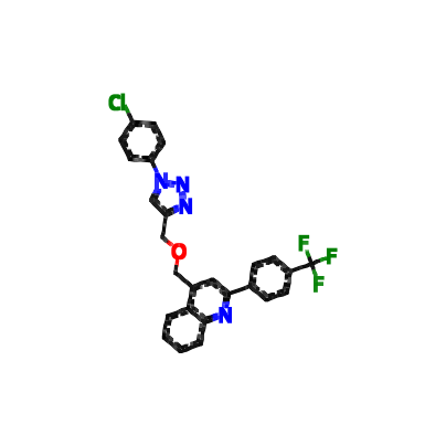 FC(F)(F)c1ccc(-c2cc(COCc3cn(-c4ccc(Cl)cc4)nn3)c3ccccc3n2)cc1